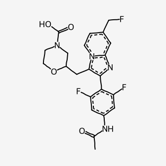 CC(=O)Nc1cc(F)c(-c2nc3cc(CF)ccn3c2CC2CN(C(=O)O)CCO2)c(F)c1